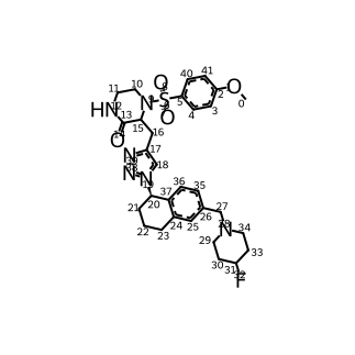 COc1ccc(S(=O)(=O)N2CCNC(=O)C2Cc2cn([C@@H]3CCCc4cc(CN5CCC(F)CC5)ccc43)nn2)cc1